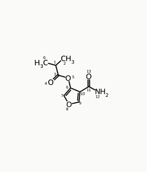 CC(C)C(=O)Oc1cocc1C(N)=O